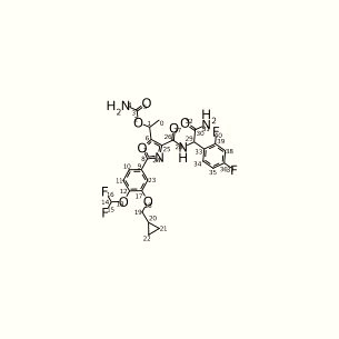 CC(OC(N)=O)c1oc(-c2ccc(OC(F)F)c(OCC3CC3)c2)nc1C(=O)NC(C(N)=O)c1ccc(F)cc1F